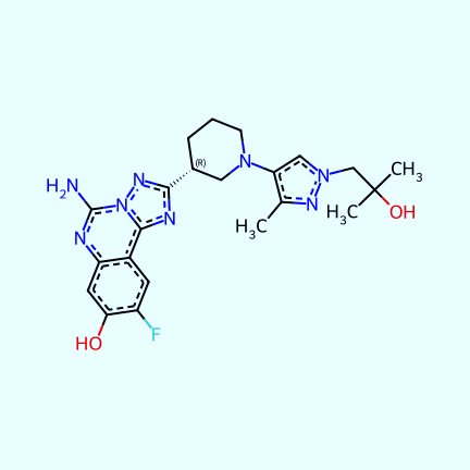 Cc1nn(CC(C)(C)O)cc1N1CCC[C@@H](c2nc3c4cc(F)c(O)cc4nc(N)n3n2)C1